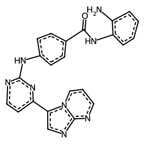 Nc1ccccc1NC(=O)c1ccc(Nc2nccc(-c3cnc4ncccn34)n2)cc1